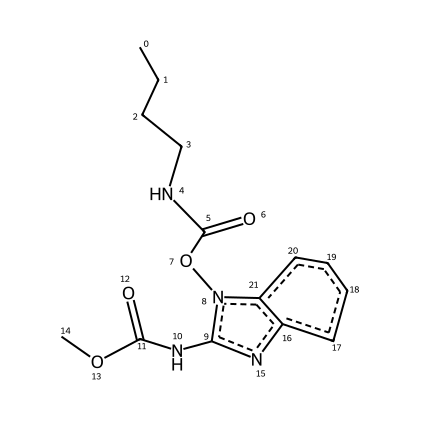 CCCCNC(=O)On1c(NC(=O)OC)nc2ccccc21